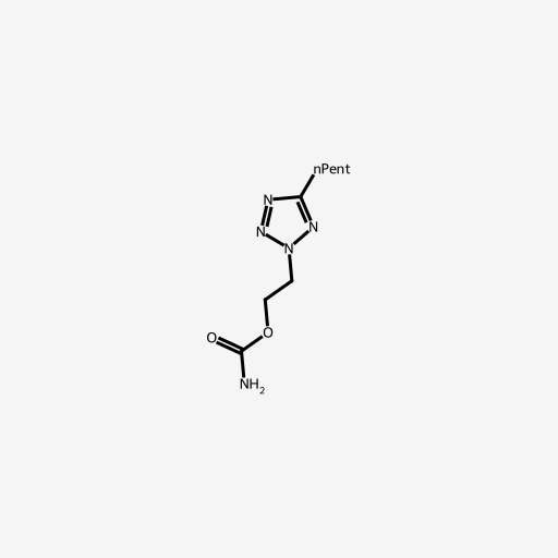 CCCCCc1nnn(CCOC(N)=O)n1